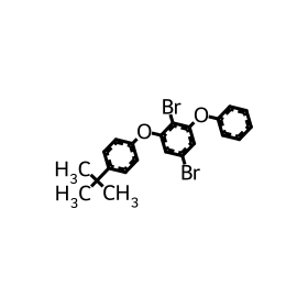 CC(C)(C)c1ccc(Oc2cc(Br)cc(Oc3ccccc3)c2Br)cc1